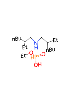 CCCCC(CC)CNCC(CC)CCCC.CCO[PH](=O)O